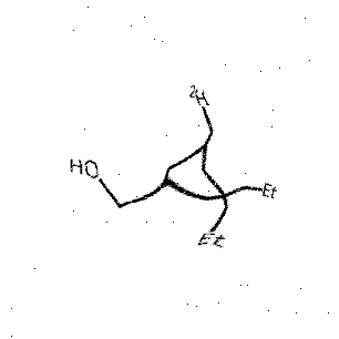 [2H]C1C(CO)C1(CC)CC